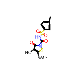 CSc1sn(C(=O)NS(=O)(=O)c2ccc(C)cc2)c(=O)c1C#N